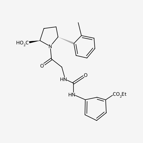 CCOC(=O)c1cccc(NC(=O)NCC(=O)N2[C@@H](C(=O)O)CC[C@@H]2c2ccccc2C)c1